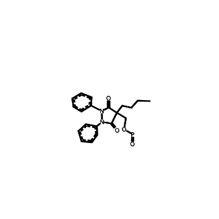 CCCCC1(COP=O)C(=O)N(c2ccccc2)N(c2ccccc2)C1=O